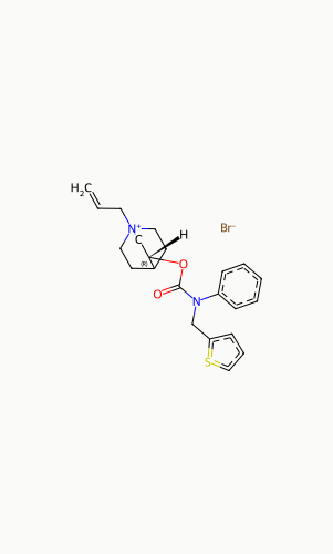 C=CC[N+]12CCC(CC1)[C@@H](OC(=O)N(Cc1cccs1)c1ccccc1)C2.[Br-]